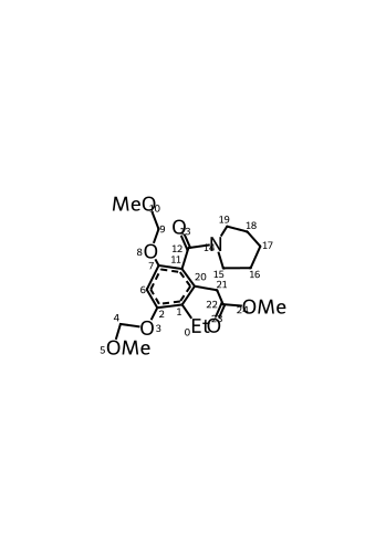 CCc1c(OCOC)cc(OCOC)c(C(=O)N2CCCCC2)c1CC(=O)OC